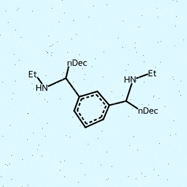 CCCCCCCCCCC(NCC)c1cccc(C(CCCCCCCCCC)NCC)c1